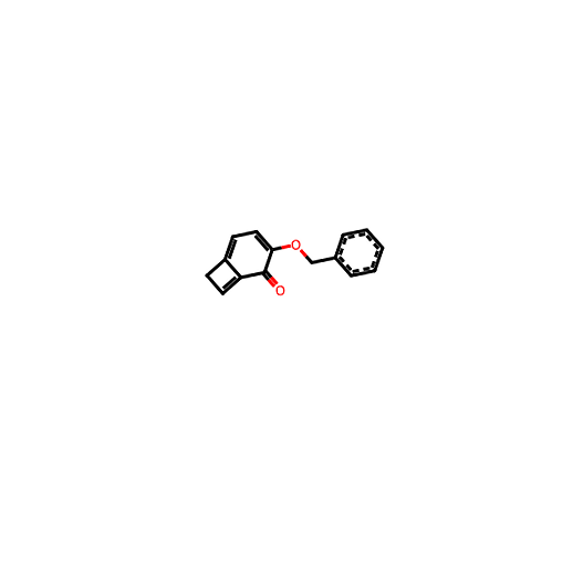 O=C1C(OCc2ccccc2)=CC=C2CC=C12